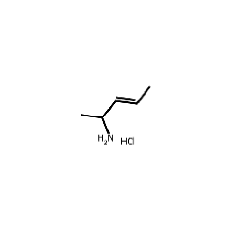 CC=CC(C)N.Cl